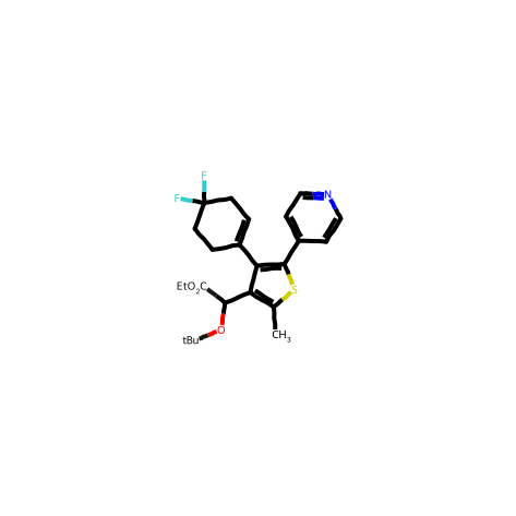 CCOC(=O)C(OC(C)(C)C)c1c(C)sc(-c2ccncc2)c1C1=CCC(F)(F)CC1